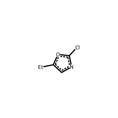 CCc1cnc(Cl)o1